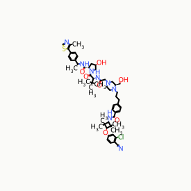 Cc1ncsc1-c1ccc([C@H](C)NC(=O)[C@@H]2C[C@@H](O)CN2C(=O)[C@@H](NC(=O)CN2CCN(CCCc3ccc(C(=O)N[C@H]4C(C)(C)[C@H](Oc5ccc(C#N)c(Cl)c5)C4(C)C)cc3)[C@H](CO)C2)C(C)(C)C)cc1